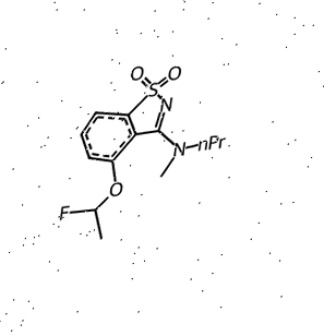 CCCN(C)C1=NS(=O)(=O)c2cccc(OC(C)F)c21